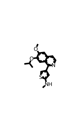 CNc1cc(-c2nccc3cc(OC)c(OC(C)C)cc23)cs1